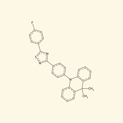 CC1(C)c2ccccc2N(c2ccc(-c3nsc(-c4ccc(F)cc4)n3)cc2)c2ccccc21